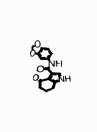 O=C(Nc1ccc2c(c1)OCO2)c1c[nH]c2c1C(=O)CCC2